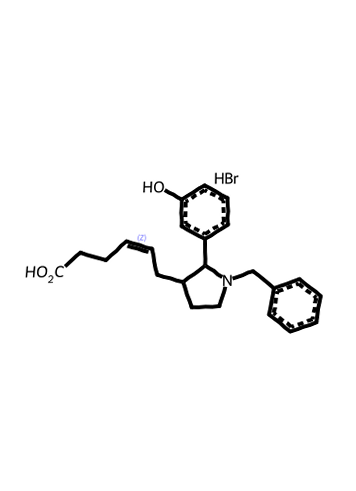 Br.O=C(O)CC/C=C\CC1CCN(Cc2ccccc2)C1c1cccc(O)c1